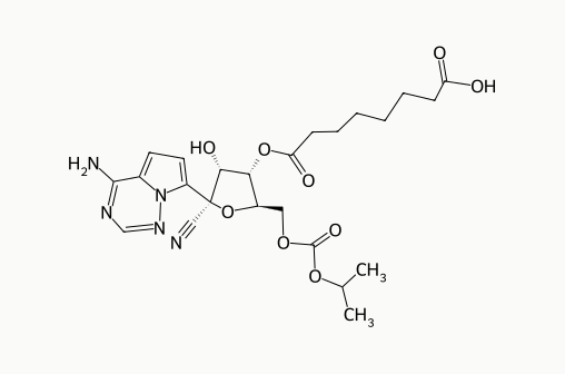 CC(C)OC(=O)OC[C@H]1O[C@@](C#N)(c2ccc3c(N)ncnn23)[C@H](O)[C@@H]1OC(=O)CCCCCCC(=O)O